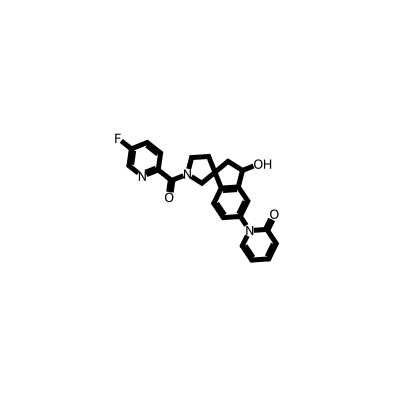 O=C(c1ccc(F)cn1)N1CCC2(CC(O)c3cc(-n4ccccc4=O)ccc32)C1